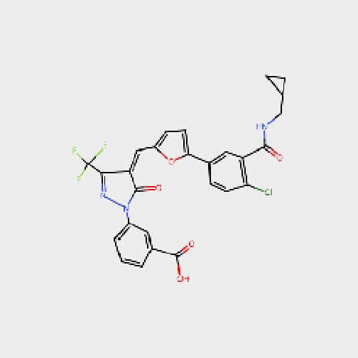 O=C(O)c1cccc(N2N=C(C(F)(F)F)C(=Cc3ccc(-c4ccc(Cl)c(C(=O)NCC5CC5)c4)o3)C2=O)c1